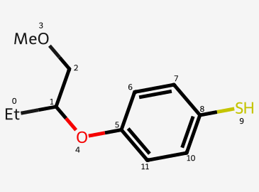 CCC(COC)Oc1ccc(S)cc1